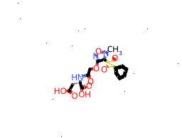 CN1ON=C(OCC(=O)N[C@@H](CC(=O)O)C(=O)O)C1S(=O)(=O)c1ccccc1